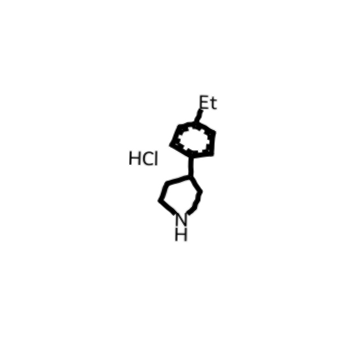 CCc1ccc(C2CCNCC2)cc1.Cl